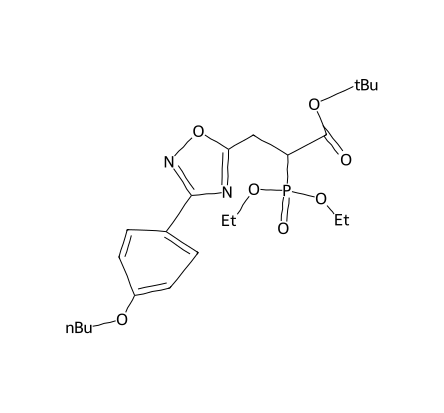 CCCCOc1ccc(-c2noc(CC(C(=O)OC(C)(C)C)P(=O)(OCC)OCC)n2)cc1